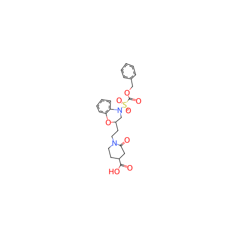 O=C(O)C1CCN(CCC2CN(S(=O)(=O)C(=O)OCc3ccccc3)c3ccccc3O2)C(=O)C1